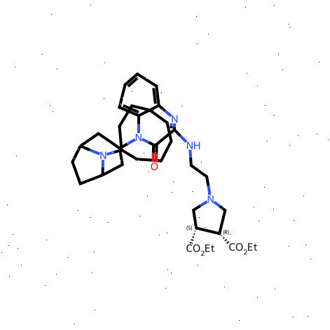 CCOC(=O)[C@H]1CN(CCNc2nc3ccccc3n(C3CC4CCC(C3)N4C3CCCCCCC3)c2=O)C[C@H]1C(=O)OCC